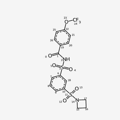 O=C(NS(=O)(=O)c1cccc(S(=O)(=O)N2CCC2)c1)c1ccc(OC(F)(F)F)cc1